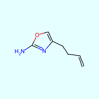 C=CCCc1coc(N)n1